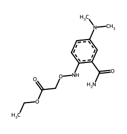 CCOC(=O)CONc1ccc(N(C)C)cc1C(N)=O